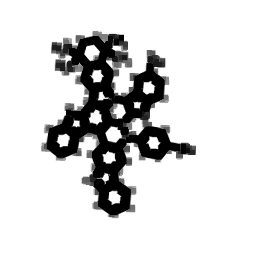 CC(C)(C)c1ccc(N2B3c4oc5ccc(C(C)(C)C)cc5c4-n4c5cc6c(cc5c5c7sc8ccccc8c7c(c3c54)-c3cc4sc5ccccc5c4cc32)C(C)(C)CCC6(C)C)cc1